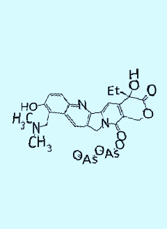 CC[C@@]1(O)C(=O)OCc2c1cc1n(c2=O)Cc2cc3c(CN(C)C)c(O)ccc3nc2-1.O=[As]O[As]=O